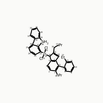 CCCc1ccc2c(c1-c1ccccc1CC)C=C(CC(C)C)[CH]2[Zr]([Cl])([Cl])[c]1cccc2c1[SiH2]c1ccccc1-2